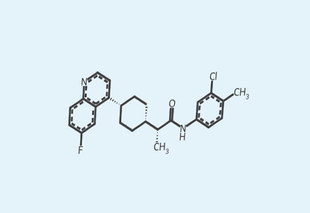 Cc1ccc(NC(=O)[C@H](C)[C@H]2CC[C@@H](c3ccnc4ccc(F)cc43)CC2)cc1Cl